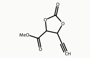 C#CC1OC(=O)OC1C(=O)OC